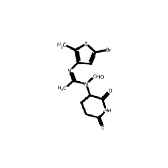 C/C(=N/c1cc(Br)sc1C)N(C=O)C1CCC(=O)NC1=O